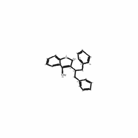 O=c1oc2ccccc2c(O)c1C(Cc1ccccc1)Cc1ccccc1